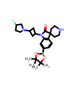 CC1(C)OB(c2ccc3c(c2)N(C2CC(N4CC[C@@H](F)C4)C2)C(=O)C32CCNCC2)OC1(C)C